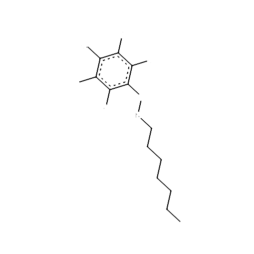 CCCCCCCNSc1c(Cl)c(Cl)c(Cl)c(Cl)c1Cl